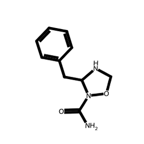 NC(=O)N1OCNC1Cc1ccccc1